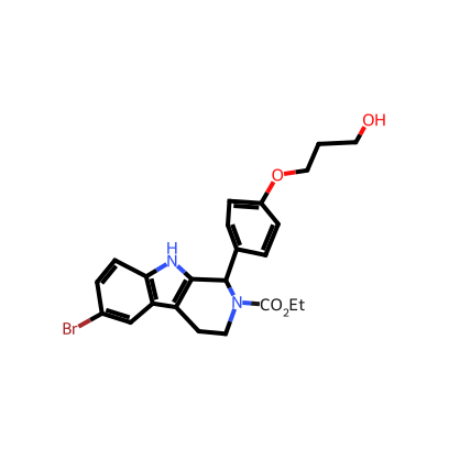 CCOC(=O)N1CCc2c([nH]c3ccc(Br)cc23)C1c1ccc(OCCCO)cc1